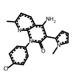 Cc1ccc2c(N)c(-c3cccn3C)c(=O)n(-c3ccc(Cl)cc3)c2n1